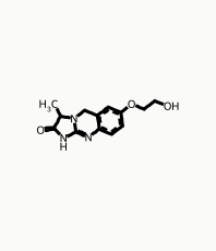 CC1C(=O)NC2=Nc3ccc(OCCO)cc3CN21